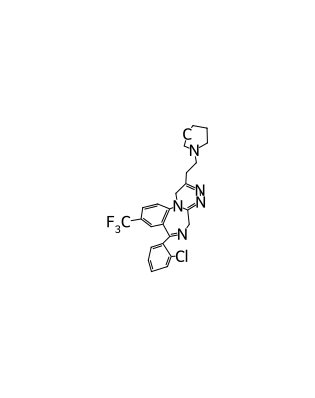 FC(F)(F)c1ccc2c(c1)C(c1ccccc1Cl)=NCC1=NN=C(CCN3CCCCC3)CN12